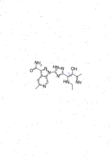 CCN/C(=C(/O)C(C)=N)c1n[nH]c(-n2nc(C(N)=O)c3cc(C)ncc32)n1